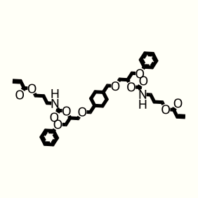 C=CC(=O)OCCCNC(=O)OC(COCC1CCC(COCC(COc2ccccc2)OC(=O)NCCCOC(=O)C=C)CC1)COc1ccccc1